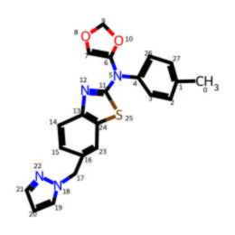 Cc1ccc(N(C2=COCO2)c2nc3ccc(Cn4cccn4)cc3s2)cc1